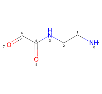 [NH]CCNC(=O)C=O